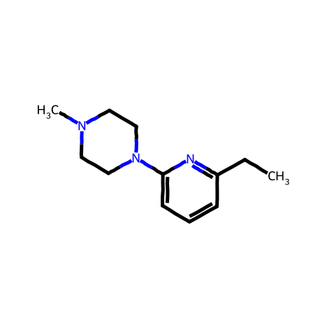 CCc1cccc(N2CCN(C)CC2)n1